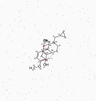 CC[C@@]12CCC(O)C[C@@]13CCN(CC1CC1)[C@@H]2Cc1ccc(OC)cc13